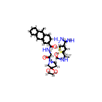 Cc1c2ccccc2cc2cc(C(=O)NCC(=O)N3CC4(C[C@H]3C(=O)N[C@H](C)c3cc(C(=N)N)cs3)OCCO4)ccc12